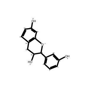 Oc1cccc(C2Oc3cc(O)ccc3CC2O)c1